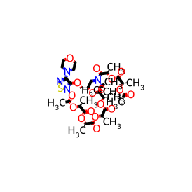 CC(=O)O[C@@H](C)C(=O)O[C@@H](C)C(=O)O[C@@H](C)C(=O)O[C@@H](C)C(=O)O[C@H](COc1nsnc1N1CCOCC1)CN(C(=O)[C@H](C)OC(=O)[C@H](C)OC(C)=O)C(C)(C)C